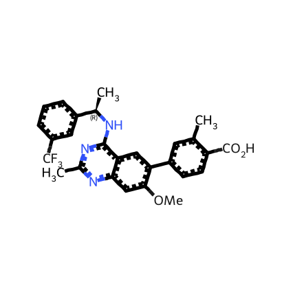 COc1cc2nc(C)nc(N[C@H](C)c3cccc(C(F)(F)F)c3)c2cc1-c1ccc(C(=O)O)c(C)c1